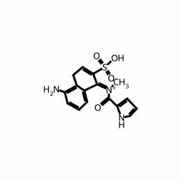 C[N+](C(=O)c1ccc[nH]1)=C1C(S(=O)(=O)O)=CCc2c(N)cccc21